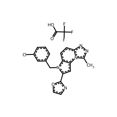 Cc1nnc2ccc3c(cc(-c4ncco4)n3Cc3cccc(Cl)c3)n12.O=C(O)C(F)(F)F